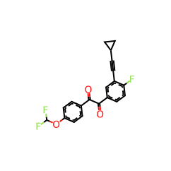 O=C(C(=O)c1ccc(F)c(C#CC2CC2)c1)c1ccc(OC(F)F)cc1